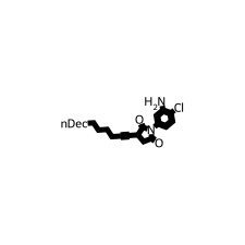 CCCCCCCCCCCCCCC#CC1CC(=O)N(c2ccc(Cl)c(N)c2)C1=O